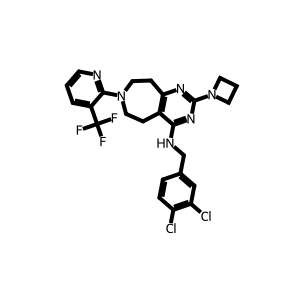 FC(F)(F)c1cccnc1N1CCc2nc(N3CCC3)nc(NCc3ccc(Cl)c(Cl)c3)c2CC1